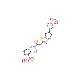 O=C(Cc1nc2ccc(-c3ccc4c(c3)OCO4)cc2s1)NCc1cccc(C(=O)O)c1